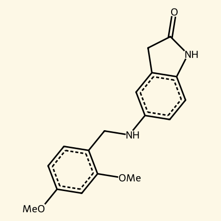 COc1ccc(CNc2ccc3c(c2)CC(=O)N3)c(OC)c1